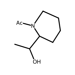 CC(=O)N1CCCCC1C(C)O